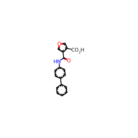 O=C(O)c1cocc1C(=O)Nc1ccc(-c2ccccc2)cc1